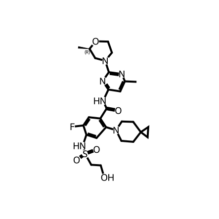 Cc1cc(NC(=O)c2cc(F)c(NS(=O)(=O)CCO)cc2N2CCC3(CC2)CC3)nc(N2CCO[C@H](C)C2)n1